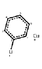 [Cu].[Li][c]1ccccc1